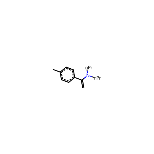 C=C(c1ccc(C)cc1)N(CCC)CCC